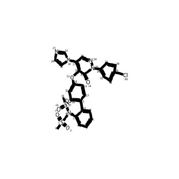 CS(=O)(=O)N(c1ccccc1-c1ccc(Oc2c(-n3ccnc3)cnn(-c3ccc(Cl)cc3)c2=O)cc1)S(C)(=O)=O